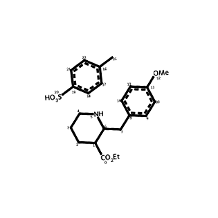 CCOC(=O)C1CCCNC1Cc1ccc(OC)cc1.Cc1ccc(S(=O)(=O)O)cc1